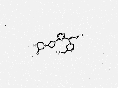 C=N/C=C(/c1nccc(N2CCC(N3CCNC(=O)C3)C2)n1)N1C=C(CC(F)(F)F)N=CC1